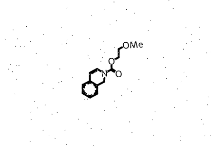 COCCOC(=O)N1C=Cc2ccccc2C1